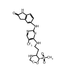 CS(=O)(=O)[C@H]1OCCNC1CCNc1nc(Nc2ccc3c(c2)CC(=O)N3)ncc1C(F)(F)F